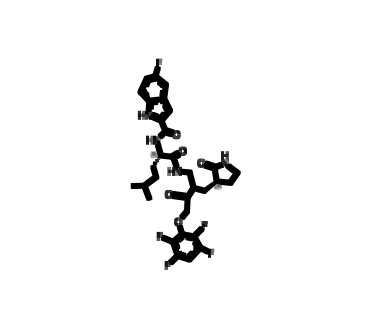 CC(C)CC[C@H](NC(=O)c1cc2cc(F)ccc2[nH]1)C(=O)NCC(C[C@@H]1CCNC1=O)C(=O)COc1c(F)c(F)cc(F)c1F